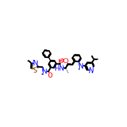 Cc1csc(CN(C)C(=O)c2cc(C(=O)N[C@@H](C)[C@H](O)Cc3ccccc3N(C)c3cncc(C(C)C)c3)cc(-c3ccccc3)c2)n1